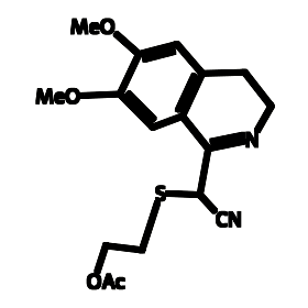 COc1cc2c(cc1OC)C(C(C#N)SCCOC(C)=O)=NCC2